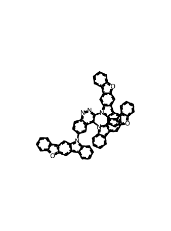 c1ccc2c(c1)oc1cc3c4ccccc4n(-c4ccc5nnc(-n6c7ccccc7c7cc8oc9ccccc9c8cc76)c(-n6c7ccccc7c7cc8oc9ccccc9c8cc76)c5c4)c3cc12